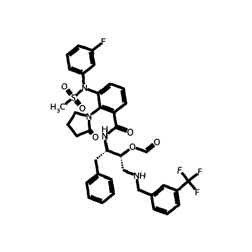 CS(=O)(=O)N(c1cccc(F)c1)c1cccc(C(=O)N[C@@H](Cc2ccccc2)[C@@H](CNCc2cccc(C(F)(F)F)c2)OC=O)c1N1CCCC1=O